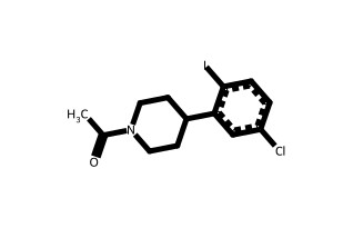 CC(=O)N1CCC(c2cc(Cl)ccc2I)CC1